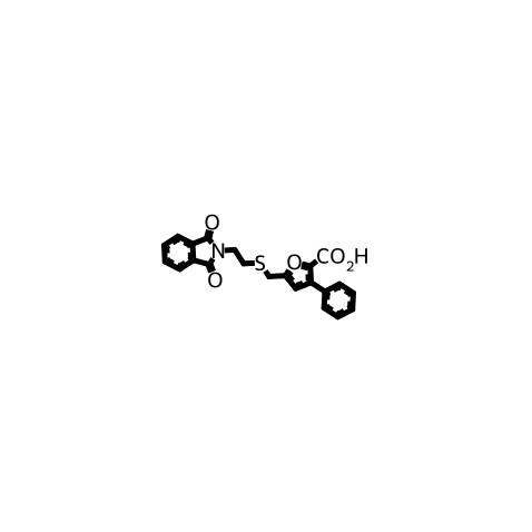 O=C(O)c1oc(CSCCN2C(=O)c3ccccc3C2=O)cc1-c1ccccc1